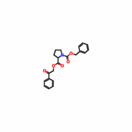 O=C(COC(=O)C1CCCN1C(=O)OCc1ccccc1)c1ccccc1